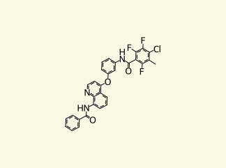 Cc1c(F)c(C(=O)Nc2cccc(Oc3ccnc4c(NC(=O)c5ccccc5)cccc34)c2)c(F)c(F)c1Cl